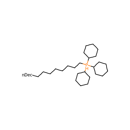 CCCCCCCCCCCCCCCCCC[PH](C1CCCCC1)(C1CCCCC1)C1CCCCC1